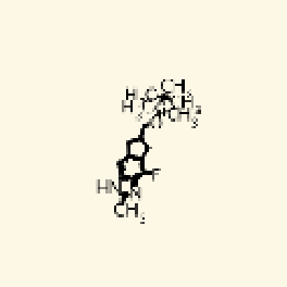 Cc1nc2c(F)c3c(cc2[nH]1)CC(CO[Si](C)(C)C(C)(C)C)C3